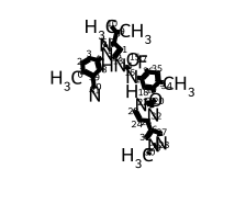 Cc1ccc(-n2nc(C(C)C)cc2NC(=O)Nc2cc(Oc3nccc(-c4cnn(C)c4)n3)c(C)cc2F)cc1C#N